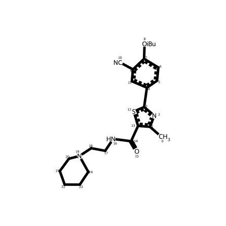 Cc1nc(-c2ccc(OCC(C)C)c(C#N)c2)sc1C(=O)NCCN1CCCCC1